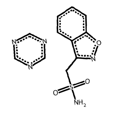 NS(=O)(=O)Cc1noc2ccccc12.c1ncncn1